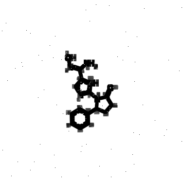 NC(=NO)c1cnc(N2C(=O)CCC2c2ccccc2)[nH]1